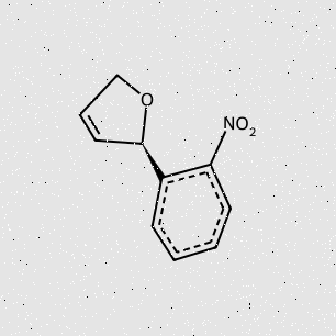 O=[N+]([O-])c1ccccc1[C@H]1C=CCO1